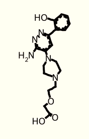 Nc1nnc(-c2ccccc2O)cc1N1CCN(CCOCC(=O)O)CC1